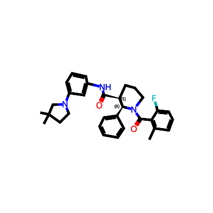 Cc1cccc(F)c1C(=O)N1CCC[C@H](C(=O)Nc2cccc(N3CCC(C)(C)C3)c2)[C@@H]1c1ccccc1